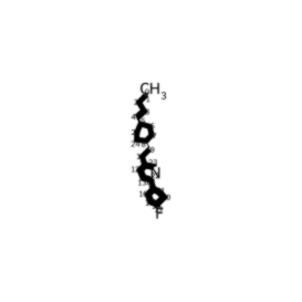 CCCC=C[C@H]1CC[C@H](CCc2ccc(-c3ccc(F)cc3)nc2)CC1